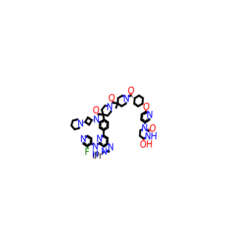 CC(C)n1cnc2cc(-c3ccc4c(c3)N([C@H]3C[C@@H](N5CCCCC5)C3)C(=O)C43CCN(C(=O)C4(C)CCN(C(=O)[C@H]5CC[C@H](Oc6ccc(N7CCC(O)NC7=O)cn6)CC5)CC4)CC3)nc(Nc3ccncc3F)c21